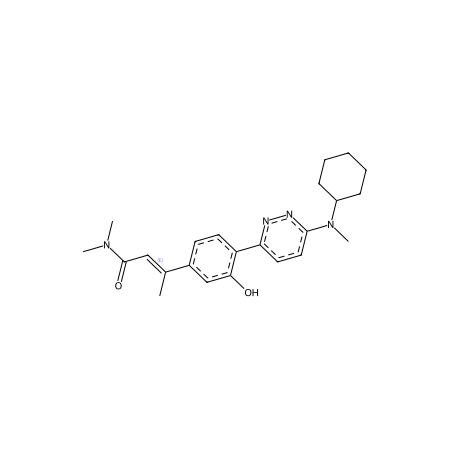 C/C(=C\C(=O)N(C)C)c1ccc(-c2ccc(N(C)C3CCCCC3)nn2)c(O)c1